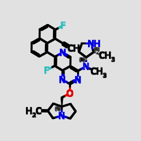 C#Cc1c(F)ccc2cccc(-c3ncc4c(N(C)[C@@H]5CCN[C@@H]5C)nc(OC[C@@]56CCCN5CC(=C)C6)nc4c3F)c12